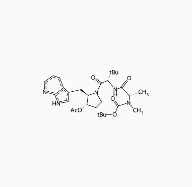 CC(=O)O[C@H]1CCN(C(=O)[C@@H](NC(=O)[C@H](C)N(C)C(=O)OC(C)(C)C)C(C)(C)C)[C@@H]1Cc1c[nH]c2ncccc12